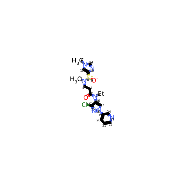 CCN(C(=O)CCN(C)[S+]([O-])c1cn(C)cn1)c1cn(-c2cccnc2)nc1Cl